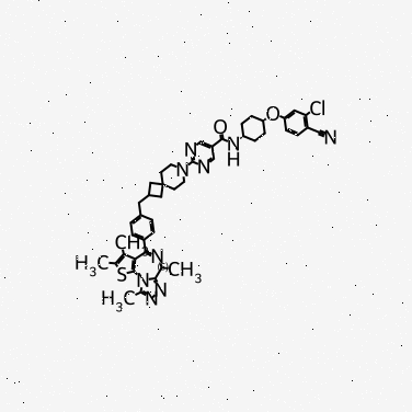 Cc1sc2c(c1C)C(c1ccc(CC3CC4(CCN(c5ncc(C(=O)N[C@H]6CC[C@H](Oc7ccc(C#N)c(Cl)c7)CC6)cn5)CC4)C3)cc1)=N[C@@H](C)c1nnc(C)n1-2